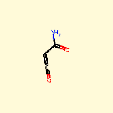 NC(=O)C=C=O